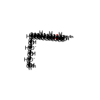 CCO[PH](=O)[O-].CCO[PH](=O)[O-].CCO[PH](=O)[O-].CCO[PH](=O)[O-].CCO[PH](=O)[O-].CCO[PH](=O)[O-].CCO[PH](=O)[O-].CCO[PH](=O)[O-].CCO[PH](=O)[O-].CCO[PH](=O)[O-].CCO[PH](=O)[O-].CCO[PH](=O)[O-].CCO[PH](=O)[O-].CCO[PH](=O)[O-].CCO[PH](=O)[O-].CCO[PH](=O)[O-].[Ti+4].[Ti+4].[Ti+4].[Ti+4]